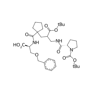 CC(C)(C)OC(=O)C(CNC(=O)[C@@H]1CCCN1C(=O)OC(C)(C)C)CC1(C(=O)N[C@@H](COCc2ccccc2)C(=O)O)CCCC1